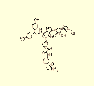 NS(=O)(=O)c1cccc(NC(=O)N[C@@H]2CCN(c3nc(NCC(c4ccc(O)cc4)c4ccc(O)cc4)c4ncn([C@@H]5C[C@H](n6ncc(CO)n6)[C@@H](O)[C@H]5O)c4n3)C2)c1